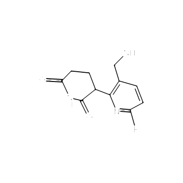 NCc1ccc(F)nc1C1CCC(=O)NC1=O